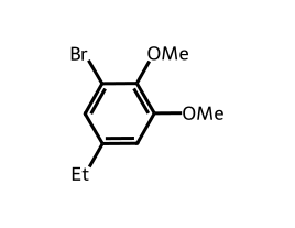 CCc1cc(Br)c(OC)c(OC)c1